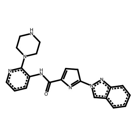 O=C(Nc1cccnc1N1CCNCC1)C1=CCC(n2cc3ccccc3n2)=N1